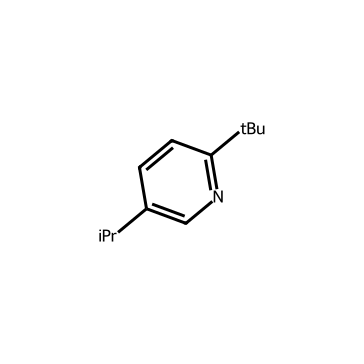 CC(C)c1ccc(C(C)(C)C)nc1